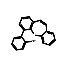 O=[N+]([O-])c1ccccc1-c1cccc2c1Sc1ccccc1C=C2